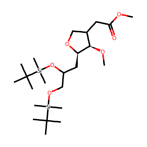 COC(=O)CC1CO[C@H](CC(CO[Si](C)(C)C(C)(C)C)O[Si](C)(C)C(C)(C)C)[C@@H]1OC